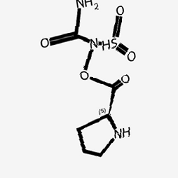 NC(=O)N(OC(=O)[C@@H]1CCCN1)[SH](=O)=O